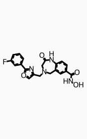 O=C1CN(Cc2coc(-c3cccc(F)c3)n2)Cc2cc(C(=O)NO)ccc2N1